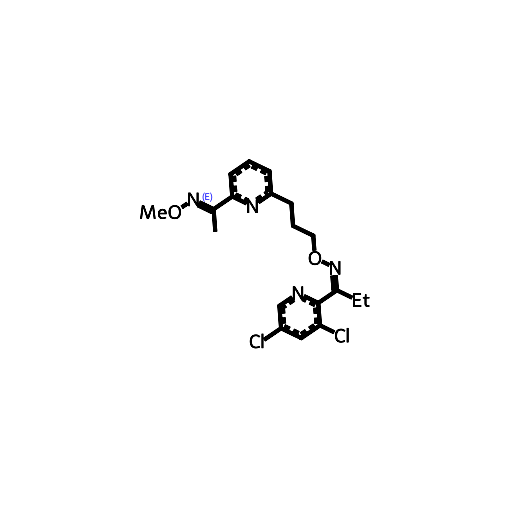 CCC(=NOCCCc1cccc(/C(C)=N/OC)n1)c1ncc(Cl)cc1Cl